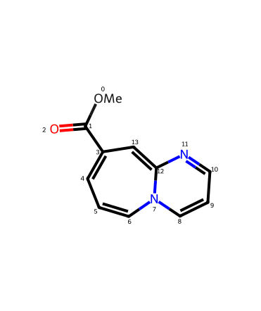 COC(=O)C1=CC=CN2C=CC=NC2=C1